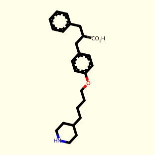 O=C(O)C(Cc1ccccc1)Cc1ccc(OCCCCC2CCNCC2)cc1